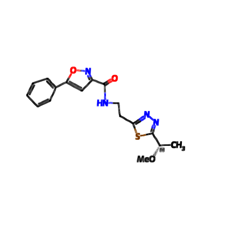 CO[C@@H](C)c1nnc(CCNC(=O)c2cc(-c3ccccc3)on2)s1